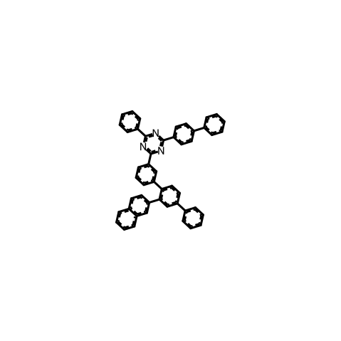 c1ccc(-c2ccc(-c3nc(-c4ccccc4)nc(-c4cccc(-c5ccc(-c6ccccc6)cc5-c5ccc6ccccc6c5)c4)n3)cc2)cc1